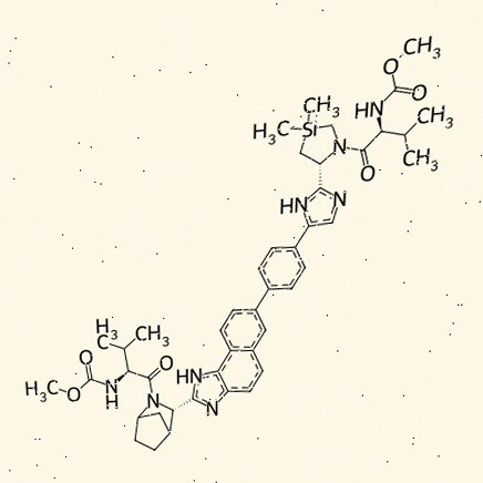 COC(=O)N[C@H](C(=O)N1C[Si](C)(C)C[C@H]1c1ncc(-c2ccc(-c3ccc4c(ccc5nc([C@@H]6C7CCC(C7)N6C(=O)[C@@H](NC(=O)OC)C(C)C)[nH]c54)c3)cc2)[nH]1)C(C)C